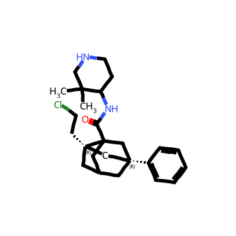 CC1(C)CNCCC1NC(=O)C12CC3C[C@](c4ccccc4)(C1)C[C@@]2(CCCl)C3